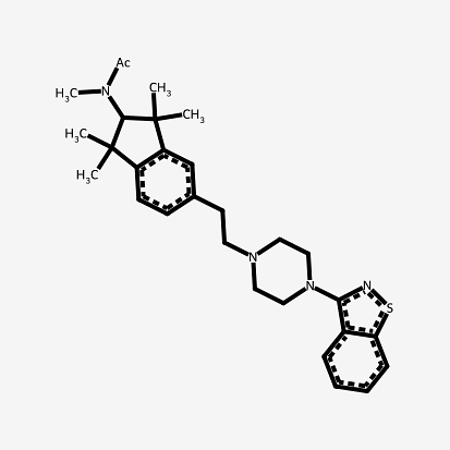 CC(=O)N(C)C1C(C)(C)c2ccc(CCN3CCN(c4nsc5ccccc45)CC3)cc2C1(C)C